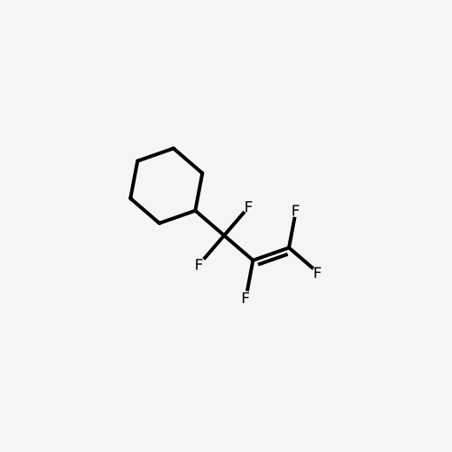 FC(F)=C(F)C(F)(F)C1CCCCC1